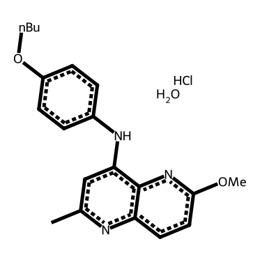 CCCCOc1ccc(Nc2cc(C)nc3ccc(OC)nc23)cc1.Cl.O